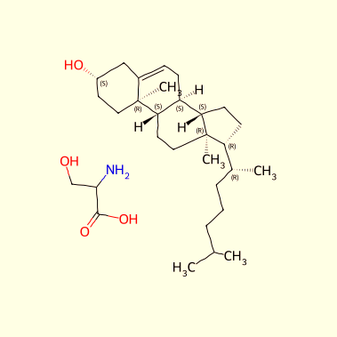 CC(C)CCC[C@@H](C)[C@H]1CC[C@H]2[C@@H]3CC=C4C[C@@H](O)CC[C@]4(C)[C@H]3CC[C@]12C.NC(CO)C(=O)O